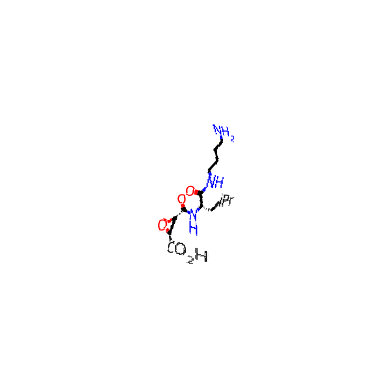 CC(C)C[C@H](NC(=O)[C@H]1O[C@@H]1C(=O)O)C(=O)NCCCCN